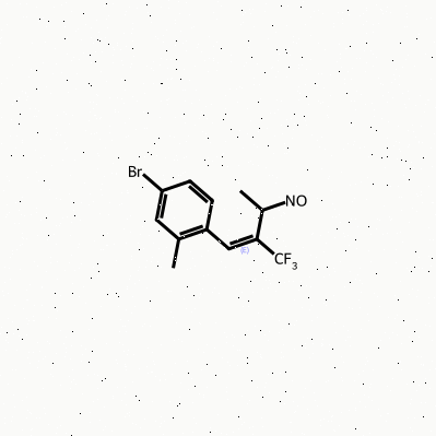 Cc1cc(Br)ccc1/C=C(\C(C)N=O)C(F)(F)F